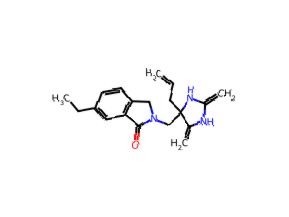 C=CCC1(CN2Cc3ccc(CC)cc3C2=O)NC(=C)NC1=C